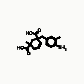 Cc1cc(CC2(C(=O)O)C=CCC(C)(C(=O)O)C2)ccc1N